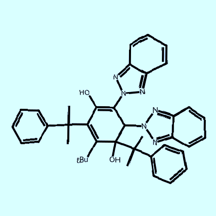 CC(C)(C)C1=C(C(C)(C)c2ccccc2)C(O)=C(n2nc3ccccc3n2)C(n2nc3ccccc3n2)C1(O)C(C)(C)c1ccccc1